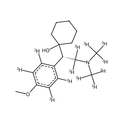 [2H]c1c([2H])c([C@H](C2(O)CCCCC2)C([2H])([2H])N(C([2H])([2H])[2H])C([2H])([2H])[2H])c([2H])c([2H])c1OC